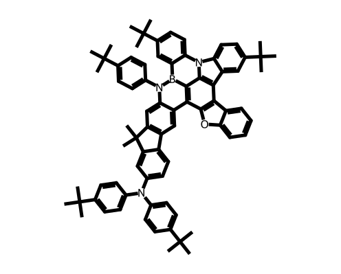 CC(C)(C)c1ccc(N2B3c4cc(C(C)(C)C)ccc4-n4c5ccc(C(C)(C)C)cc5c5c6c(oc7ccccc76)c(c3c54)-c3cc4c(cc32)C(C)(C)c2cc(N(c3ccc(C(C)(C)C)cc3)c3ccc(C(C)(C)C)cc3)ccc2-4)cc1